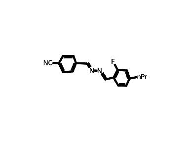 CCCc1ccc(/C=N/N=C/c2ccc(C#N)cc2)c(F)c1